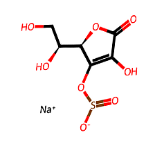 O=C1O[C@H]([C@@H](O)CO)C(OS(=O)[O-])=C1O.[Na+]